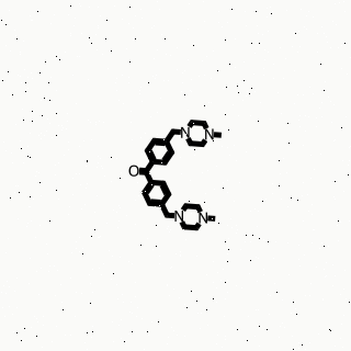 CN1CCN(Cc2ccc(C(=O)c3ccc(CN4CCN(C)CC4)cc3)cc2)CC1